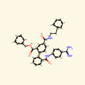 N=C(N)c1ccc(NC(=O)c2ccccc2-c2ccc(C(=O)NCCc3ccccc3)cc2C(=O)OCc2ccccc2)cc1